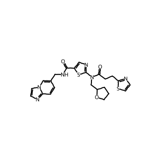 O=C(NCc1ccc2nccn2c1)c1cnc(N(CC2CCCO2)C(=O)CCc2nccs2)s1